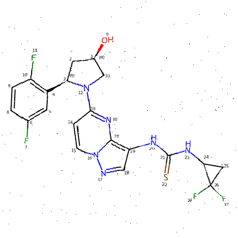 O[C@@H]1C[C@H](c2cc(F)ccc2F)N(c2ccn3ncc(NC(=S)NC4CC4(F)F)c3n2)C1